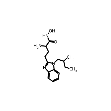 CCC(C)Cn1c(CCC(N)C(=O)NO)nc2ccccc21